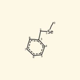 C[Se]Cc1ccccc1